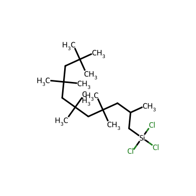 CC(CC(C)(C)CC(C)(C)CC(C)(C)CC(C)(C)C)C[Si](Cl)(Cl)Cl